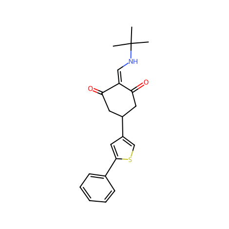 CC(C)(C)NC=C1C(=O)CC(c2csc(-c3ccccc3)c2)CC1=O